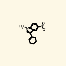 Cn1cc(C2=CCCCC2)c2cc([N+](=O)[O-])ccc21